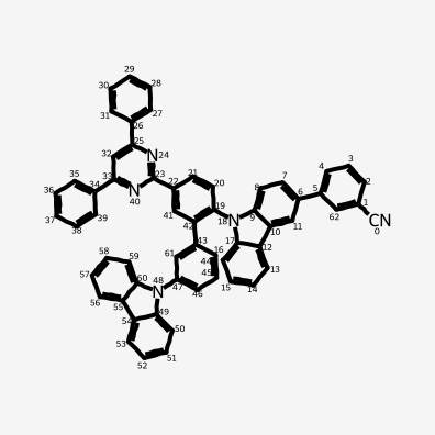 N#Cc1cccc(-c2ccc3c(c2)c2ccccc2n3-c2ccc(-c3nc(-c4ccccc4)cc(-c4ccccc4)n3)cc2-c2cccc(-n3c4ccccc4c4ccccc43)c2)c1